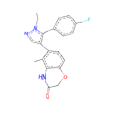 Cc1c(-c2cnn(C)c2-c2ccc(F)cc2)ccc2c1NC(=O)CO2